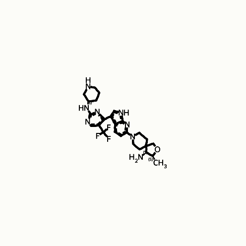 C[C@@H]1OCC2(CCN(c3ccc4c(-c5nc(N[C@H]6CCCNC6)ncc5C(F)(F)F)c[nH]c4n3)CC2)[C@@H]1N